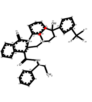 CC[C@H](NC(=O)c1c(CN2CCC(O)(c3cccc(C(F)(F)F)c3)CC2)n(-c2ccccc2)c(=O)c2ccccc12)c1ccccc1